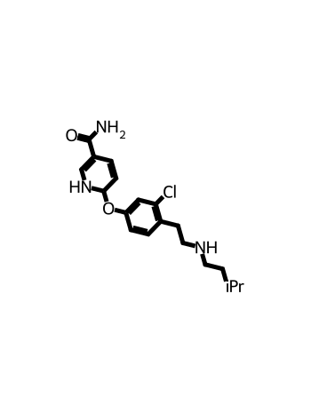 CC(C)CCNCCc1ccc(OC2C=CC(C(N)=O)=CN2)cc1Cl